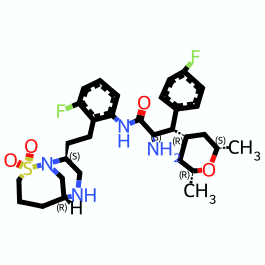 C[C@@H]1C[C@H](C(c2ccc(F)cc2)[C@H](N)C(=O)Nc2cccc(F)c2CC[C@H]2CN[C@@H]3CCCS(=O)(=O)N2C3)C[C@H](C)O1